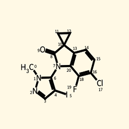 Cn1ncc(I)c1N1C(=O)C2(CC2)c2ccc(Cl)c(F)c21